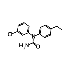 [CH2]Cc1ccc(N(C(N)=O)c2cccc(Cl)c2)cc1